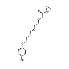 CNC(=O)COCCOCCCCOc1ccc(C)cc1